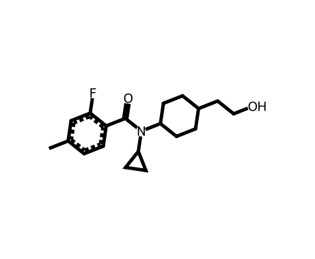 Cc1ccc(C(=O)N(C2CCC(CCO)CC2)C2CC2)c(F)c1